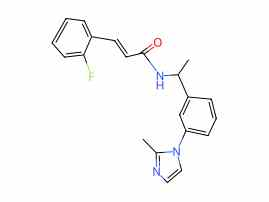 Cc1nccn1-c1cccc(C(C)NC(=O)C=Cc2ccccc2F)c1